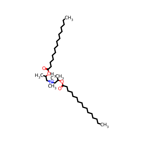 CCCCCCCCCCCCCCCC(=O)OC(C)C[N+](C)(C)CC(C)OC(=O)CCCCCCCCCCCCCCC